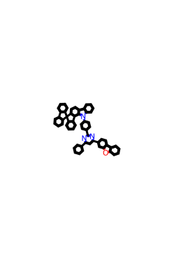 c1ccc(-c2cc(-c3ccc4c(c3)oc3ccccc34)nc(-c3ccc(-n4c5ccccc5c5ccc6c(c54)-c4ccccc4C64c5ccccc5-c5ccccc54)cc3)n2)cc1